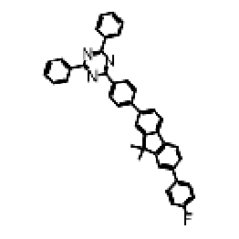 CC1(C)c2cc(-c3ccc(F)cc3)ccc2-c2ccc(-c3ccc(-c4nc(-c5ccccc5)nc(-c5ccccc5)n4)cc3)cc21